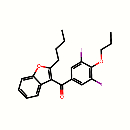 CCCCc1oc2ccccc2c1C(=O)c1cc(I)c(OCCC)c(I)c1